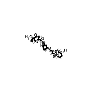 Cc1csc2nc(C(=O)NCc3cccc(OCCCS(=O)(=O)N4CCCCC4C(=O)O)c3)[nH]c(=O)c12